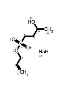 C=CCOS(=O)(=O)CCC(C)O.[NaH]